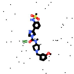 COc1cccc(CN2CCC(N(C)C(=O)n3cnc(-c4cccc(NS(C)(=O)=O)c4)c3)CC2)c1.Cl